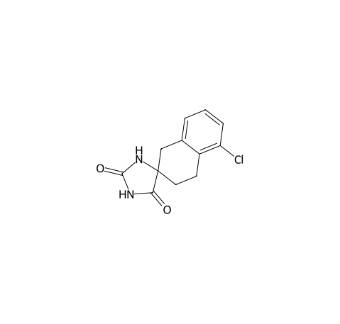 O=C1NC(=O)C2(CCc3c(Cl)cccc3C2)N1